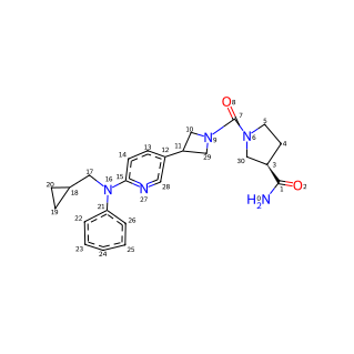 NC(=O)[C@@H]1CCN(C(=O)N2CC(c3ccc(N(CC4CC4)c4ccccc4)nc3)C2)C1